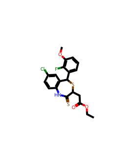 CCOC(=O)CC1SC(c2cccc(OC)c2F)c2cc(Cl)ccc2NC1=S